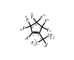 FC1=C(C(F)(C(F)(F)F)C(F)(F)F)C(F)(F)C(F)(F)C1(F)F